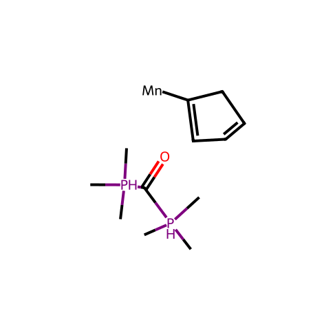 C[PH](C)(C)C(=O)[PH](C)(C)C.[Mn][C]1=CC=CC1